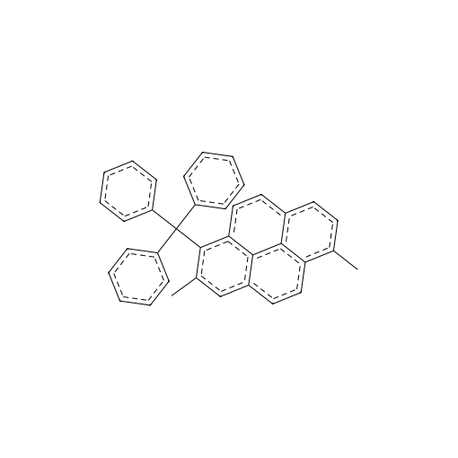 Cc1cc2ccc3c(C)ccc4ccc(c1C(c1ccccc1)(c1ccccc1)c1ccccc1)c2c43